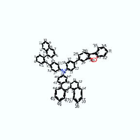 c1ccc(-c2cccc3ccccc23)c(-c2ccc(N(c3ccc(-c4ccc5c(c4)oc4ccccc45)cc3)c3ccc(-c4ccccc4-c4cccc5ccccc45)cc3)cc2)c1